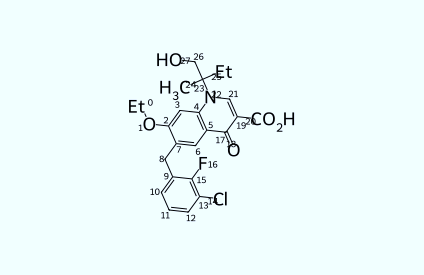 CCOc1cc2c(cc1Cc1cccc(Cl)c1F)c(=O)c(C(=O)O)cn2C(C)(CC)CO